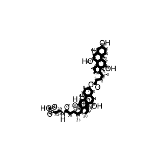 C[C@H](CCC(=O)O[C@@H]1CC[C@@]2(C)C(C1)C[C@@H](O)[C@H]1[C@@H]3CC[C@H]([C@H](C)CCC(=O)NCCS(=O)(=O)O)[C@@]3(C)[C@@H](O)C[C@@H]12)[C@H]1CCC2C3C(C[C@H](O)[C@@]21C)[C@@]1(C)CC[C@@H](O)C[C@H]1C[C@H]3O